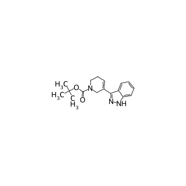 CC(C)(C)OC(=O)N1CCC=C(c2n[nH]c3ccccc23)C1